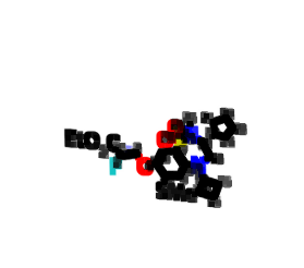 CCOC(=O)/C(F)=C/Oc1cc2c(cc1SC)N(C13CC(C1)C3)C[C@@H](C1CCCC1)N(C)S2(=O)=O